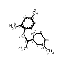 Cc1ccc(OC(C)C2CN(C)CCN2)c(N)c1